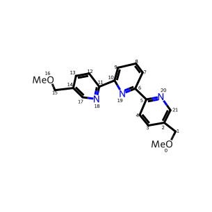 COCc1ccc(-c2cccc(-c3ccc(COC)cn3)n2)nc1